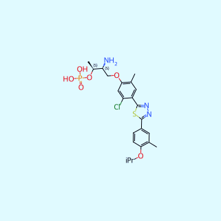 Cc1cc(-c2nnc(-c3ccc(OC(C)C)c(C)c3)s2)c(Cl)cc1OC[C@H](N)[C@H](C)OP(=O)(O)O